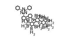 Bc1c(B)c(B)c2c(sc3c2c(B)c(B)c2c3c3c(B)c(B)c(B)c(B)c3n2-c2cccc3c2oc2cccc(-c4nc(-c5ccccc5)nc(-c5ccccc5)n4)c23)c1B